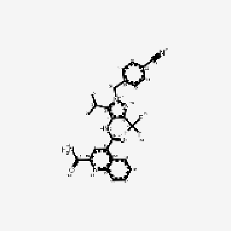 CC(C)c1c(NC(=O)c2cc(C(N)=O)nc3ccccc23)c(C(F)(F)F)nn1Cc1ccc(C#N)cc1